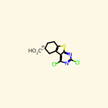 O=C(O)[C@@H]1CCc2sc3nc(Cl)nc(Cl)c3c2C1